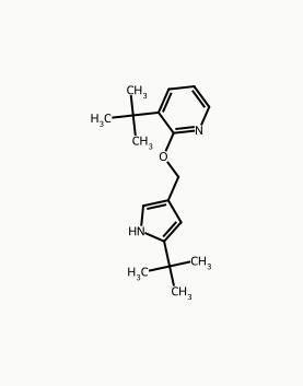 CC(C)(C)c1cc(COc2ncccc2C(C)(C)C)c[nH]1